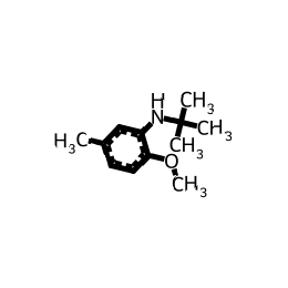 COc1ccc(C)cc1NC(C)(C)C